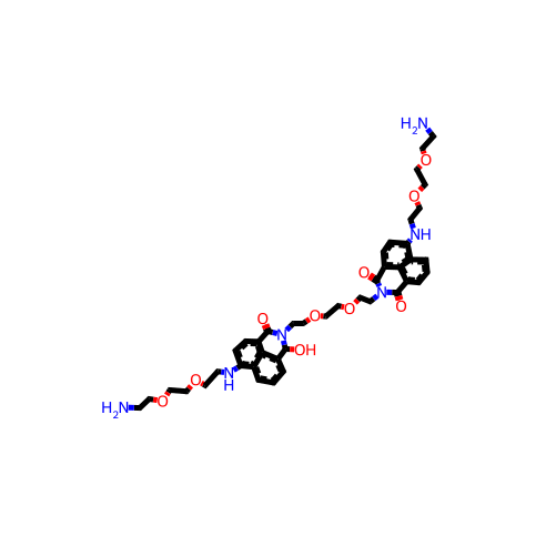 NCCOCCOCCNc1ccc2c3c(cccc13)C(=O)N(CCOCCOCCN1C(=O)c3ccc(NCCOCCOCCN)c4cccc(c34)C1O)C2=O